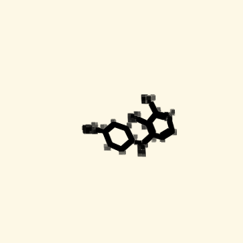 CCc1nccc(N[C@H]2CC[C@H](C(C)(C)C)CC2)c1Br